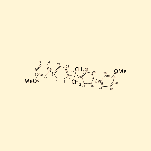 COc1cccc(-c2ccc(C(C)(C)c3ccc(-c4cccc(OC)c4)cc3)cc2)c1